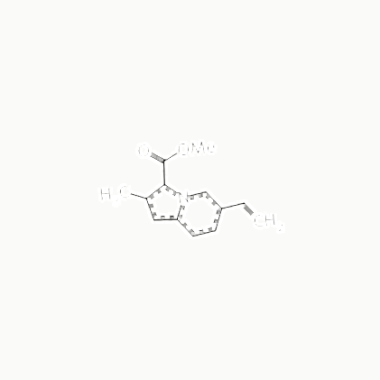 C=Cc1ccc2cc(C)c(C(=O)OC)n2c1